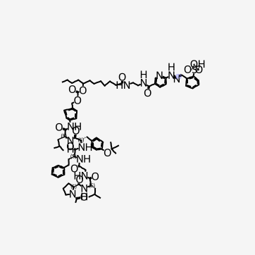 CCCCC(CCCCCCC(=O)NCCNC(=O)c1ccc(N/N=C/c2ccccc2S(=O)(=O)O)nc1)OC(=O)OCc1ccc(NC(=O)[C@H](CC(C)C)NC(=O)[C@H](Cc2ccc(OC(C)(C)C)cc2)NC(=O)[C@H](CCc2ccccc2)NC(=O)CNC(=O)[C@H](CC(C)C)NC(=O)[C@@H]2CCCN2C(C)=O)cc1